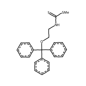 CSC(=S)NCCOC(c1ccccc1)(c1ccccc1)c1ccccc1